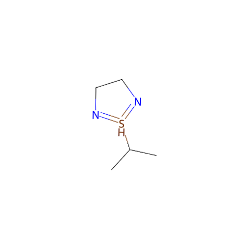 CC(C)[SH]1=NCCN=1